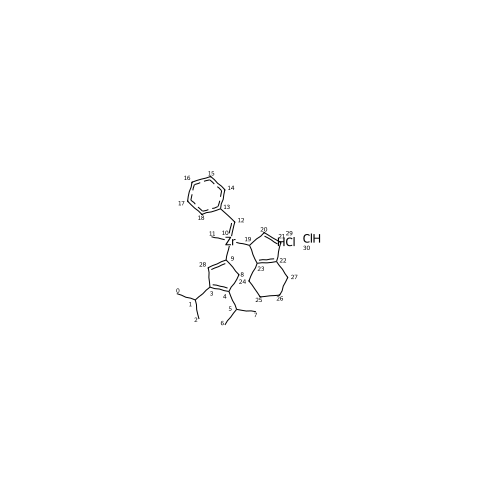 CC(C)C1=C(C(C)C)C[C]([Zr]([CH3])(=[CH]c2ccccc2)[CH]2C=CC3=C2CCCC3)=C1.Cl.Cl